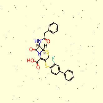 O=C(Cc1ccccc1)N[C@@H]1C(=O)N2C(C(=O)O)=C(Sc3ccc(-c4ccccc4)cc3F)CS[C@@H]12